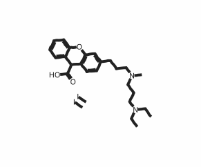 CCN(CC)CCCN(C)CCCc1ccc2c(c1)Oc1ccccc1C2C(=O)O.CI.CI